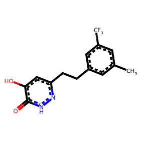 Cc1cc(CCc2cc(O)c(=O)[nH]n2)cc(C(F)(F)F)c1